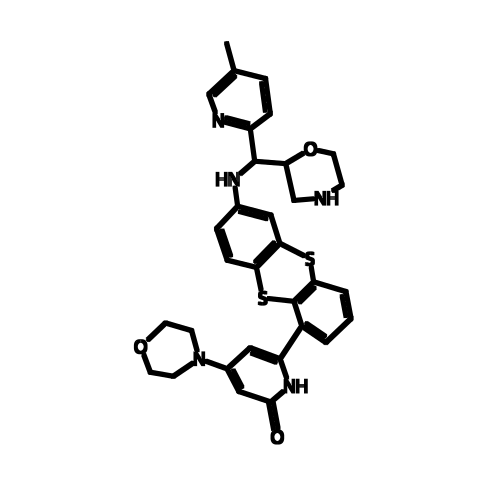 Cc1ccc(C(Nc2ccc3c(c2)Sc2cccc(-c4cc(N5CCOCC5)cc(=O)[nH]4)c2S3)C2CNCCO2)nc1